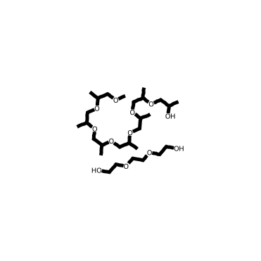 COCC(C)OCC(C)OCC(C)OCC(C)OCC(C)OCC(C)OCC(C)O.OCCOCCOCCO